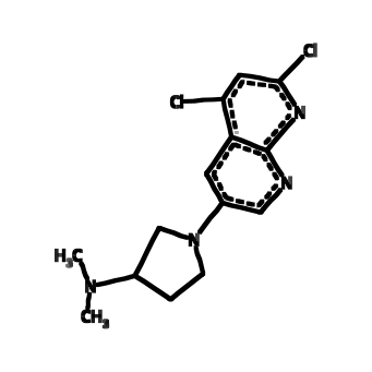 CN(C)C1CCN(c2cnc3nc(Cl)cc(Cl)c3c2)C1